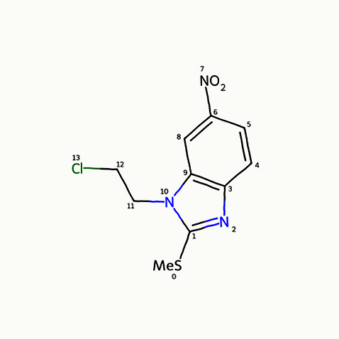 CSc1nc2ccc([N+](=O)[O-])cc2n1CCCl